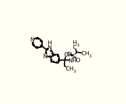 CCC(C)(NS(=O)(=O)C(C)C)c1ccc2nc(-c3ccncc3)[nH]c2c1